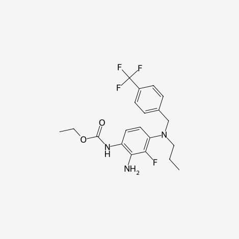 CCCN(Cc1ccc(C(F)(F)F)cc1)c1ccc(NC(=O)OCC)c(N)c1F